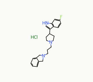 Cl.Fc1ccc2c(C3CCN(CCCN4Cc5ccccc5C4)CC3)c[nH]c2c1